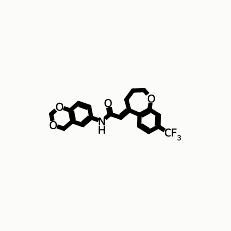 O=C(C=C1CCCOc2cc(C(F)(F)F)ccc21)Nc1ccc2c(c1)COCO2